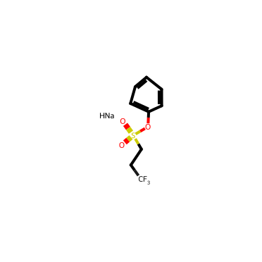 O=S(=O)(CCC(F)(F)F)Oc1ccccc1.[NaH]